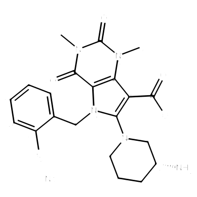 Cn1c(=O)c2c(c(C(=O)[O-])c(N3CCC[C@@H](N)C3)n2Cc2ccccc2Cl)n(C)c1=O.[Na+]